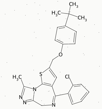 Cc1nnc2n1-c1sc(COc3ccc(C(C)(C)C)cc3)cc1C(c1ccccc1Cl)=NC2